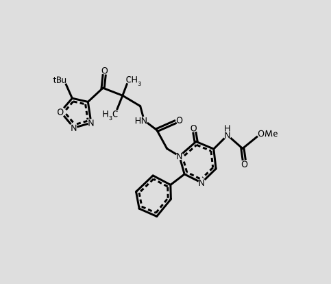 COC(=O)Nc1cnc(-c2ccccc2)n(CC(=O)NCC(C)(C)C(=O)c2nnoc2C(C)(C)C)c1=O